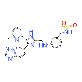 Cc1cccc(-c2[nH]c(CNc3cccc(CN[SH](=O)=O)c3)nc2-c2ccc3ncnn3c2)n1